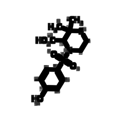 CC1(C)SCCN(S(=O)(=O)c2ccc(O)cc2)C1C(=O)O